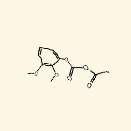 COc1cccc(OC(=O)OC(C)=O)c1OC